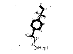 [CH2]CCCCCCOOC(=O)c1ccc([Si](C)(C)C=C)cc1